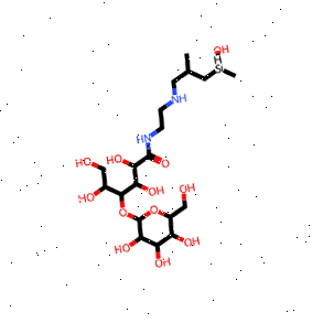 CC(CNCCNC(=O)C(O)C(O)C(OC1OC(CO)C(O)C(O)C1O)C(O)CO)C[SiH](C)O